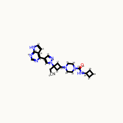 N#CCC1(n2cc(-c3ncnc4[nH]ccc34)cn2)CC(N2CCN(C(=O)NC3CCC3)CC2)C1